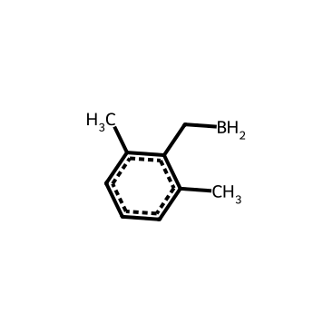 BCc1c(C)cccc1C